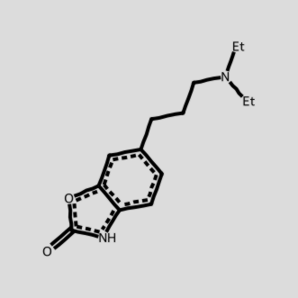 CCN(CC)CCCc1ccc2[nH]c(=O)oc2c1